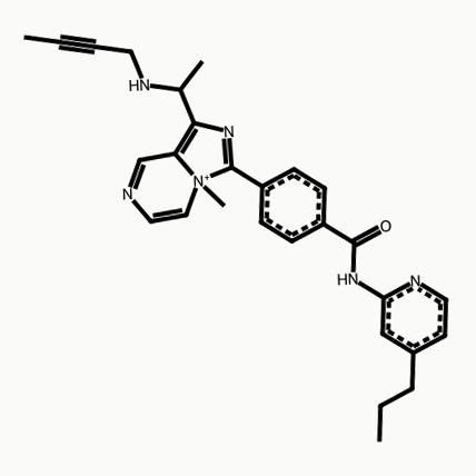 CC#CCNC(C)C1=C2C=NC=C[N+]2(C)C(c2ccc(C(=O)Nc3cc(CCC)ccn3)cc2)=N1